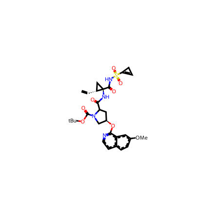 C=C[C@@H]1C[C@]1(NC(=O)C1C[C@@H](Oc2nccc3ccc(OC)cc23)CN1C(=O)OC(C)(C)C)C(=O)NS(=O)(=O)C1=CC1